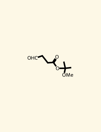 COC(C)(C)OC(=O)CCC=O